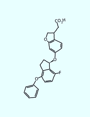 O=C(O)CC1COc2cc(O[C@@H]3CCc4c(Oc5ccccc5)ccc(F)c43)ccc21